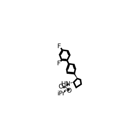 CC(C)S(=O)(=O)N[C@H]1CCC[C@@H]1c1ccc(-c2ccc(F)cc2F)cc1